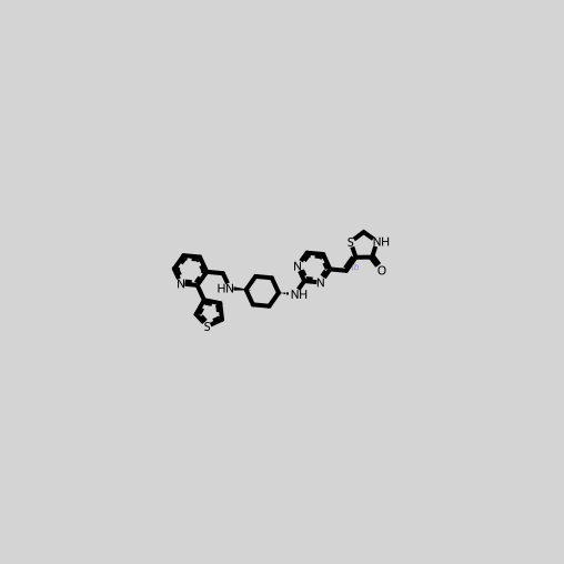 O=C1NCS/C1=C\c1ccnc(N[C@H]2CC[C@H](NCc3cccnc3-c3ccsc3)CC2)n1